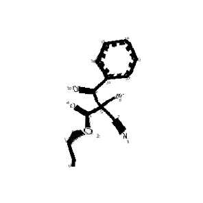 CCOC(=O)C(Br)(C#N)C(=O)c1ccccc1